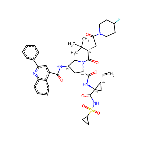 C=C[C@@H]1C[C@]1(NC(=O)[C@@H]1C[C@@H](NC(=O)c2cc(-c3ccccc3)nc3ccccc23)CN1C(=O)[C@@H](CC(=O)N1CCC(F)CC1)C(C)(C)C)C(=O)NS(=O)(=O)C1CC1